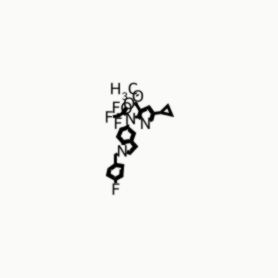 COC(=O)c1cc(C2CC2)cnc1N(C(=O)C(F)(F)F)c1ccc2c(ccn2Cc2ccc(F)cc2)c1